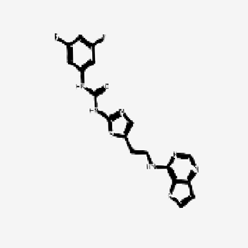 O=C(Nc1cc(F)cc(F)c1)Nc1ncc(CCNc2ncnc3ccsc23)s1